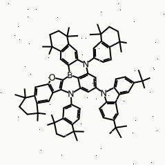 CC(C)(C)c1ccc2c(c1)c1cc(C(C)(C)C)ccc1n2-c1cc2c3c(c1)N(c1ccc4c(c1)C(C)(C)CCC4(C)C)c1c(oc4cc5c(cc14)C(C)(C)CCC5(C)C)B3c1cc3c(cc1N2c1ccc2c(c1)C(C)(C)CCC2(C)C)C(C)(C)CCC3(C)C